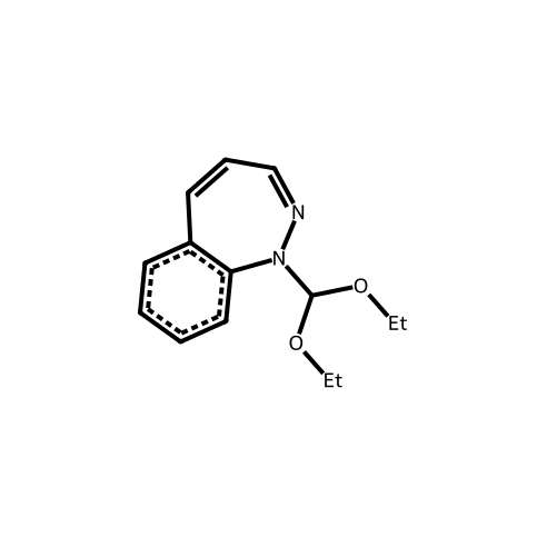 CCOC(OCC)N1N=CC=Cc2ccccc21